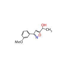 COc1cccc(-c2cc(C(C)O)on2)c1